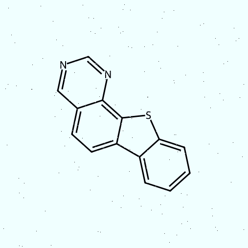 c1ccc2c(c1)sc1c2ccc2cncnc21